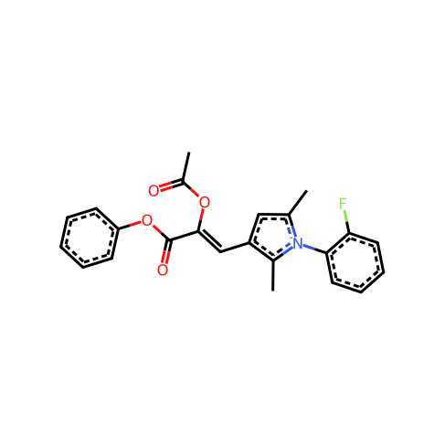 CC(=O)OC(=Cc1cc(C)n(-c2ccccc2F)c1C)C(=O)Oc1ccccc1